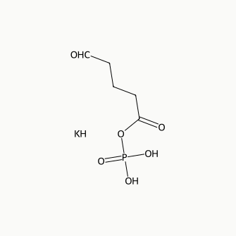 O=CCCCC(=O)OP(=O)(O)O.[KH]